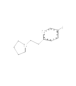 Ic1ccc(CCN2CCCC2)nc1